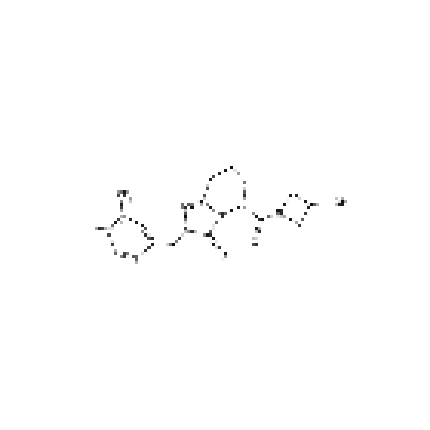 O=C(C1CCCc2nn(Cc3cc(C(F)(F)F)c(Cl)cn3)c(=O)n21)N1CC(O)C1